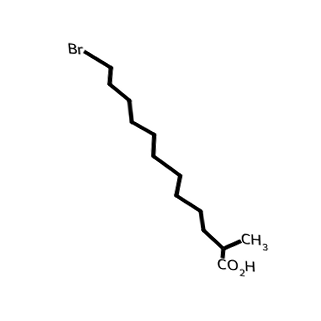 CC(CCCCCCCCCCBr)C(=O)O